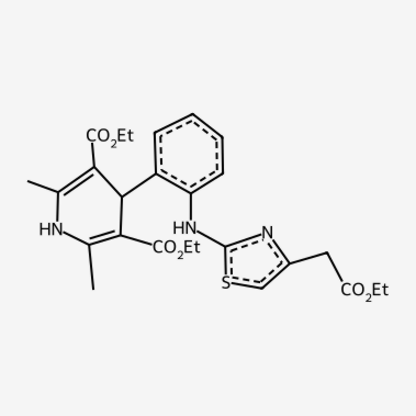 CCOC(=O)Cc1csc(Nc2ccccc2C2C(C(=O)OCC)=C(C)NC(C)=C2C(=O)OCC)n1